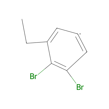 CCc1c[c]cc(Br)c1Br